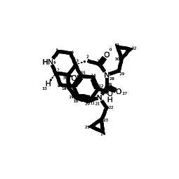 O=C1C[C@]23CCN[C@H](Cc4ccc(O)cc42)[C@]3(O)CCCN(CC2CC2)C(=O)N1CC1CC1